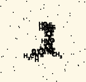 CC(=O)NC1CCN(c2cc(NC(=O)c3ccc(C(O)(CO)C(F)(F)F)cc3)nc3cc(C)nn23)CC1